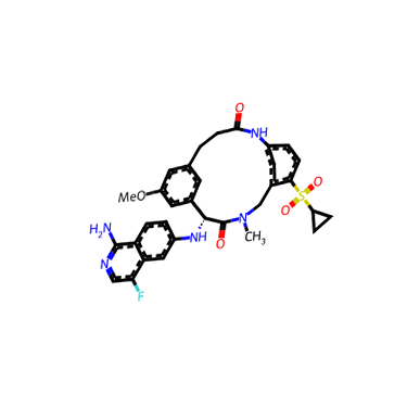 COc1cc2cc(c1)[C@@H](Nc1ccc3c(N)ncc(F)c3c1)C(=O)N(C)Cc1cc(ccc1S(=O)(=O)C1CC1)NC(=O)CC2